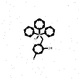 Oc1cc(I)ccc1CP(Br)(c1ccccc1)(c1ccccc1)c1ccccc1